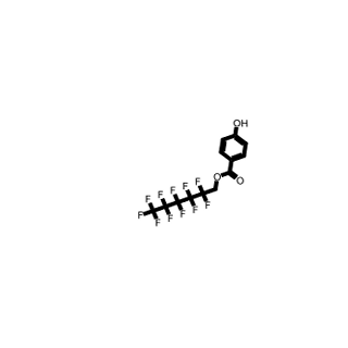 O=C(OCC(F)(F)C(F)(F)C(F)(F)C(F)(F)C(F)(F)F)c1ccc(O)cc1